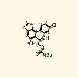 Cc1cc2ncsc2c(-c2ccc(Cl)cc2)c1C(O)COC(=O)C(C)(C)C